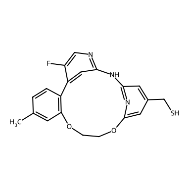 Cc1ccc2c(c1)OCCOc1cc(CS)cc(n1)Nc1cc-2c(F)cn1